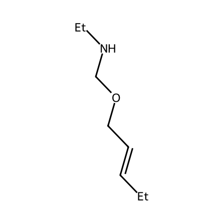 CCC=CCOCNCC